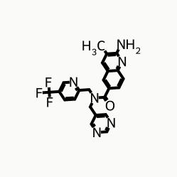 Cc1cc2cc(C(=O)N(Cc3cncnc3)Cc3ccc(C(F)(F)F)cn3)ccc2nc1N